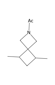 CC(=O)N1CC2(C1)C(C)CC2C